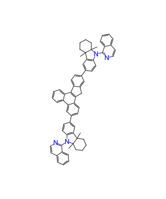 CC12CCCCC1(C)N(c1nccc3ccccc13)c1ccc(-c3ccc4c(c3)Cc3c-4c4ccccc4c4cc(-c5ccc6c(c5)C5(C)CCCCC5(C)N6c5nccc6ccccc56)ccc34)cc12